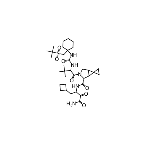 CC(C)(C)[C@H](NC(=O)NC1(CS(=O)(=O)C(C)(C)C)CCCCC1)C(=O)N1CC2C([C@H]1C(=O)NC(CC1CCC1)C(=O)C(N)=O)C21CC1